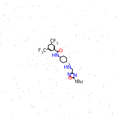 CC(C)(C)c1nc(CNC[C@H]2CC[C@H](NC(=O)C3=CC(C(F)(F)F)CC(C(F)(F)F)=C3)CC2)no1